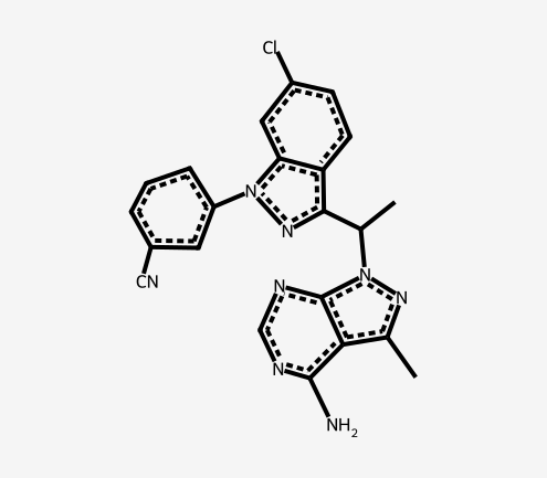 Cc1nn(C(C)c2nn(-c3cccc(C#N)c3)c3cc(Cl)ccc23)c2ncnc(N)c12